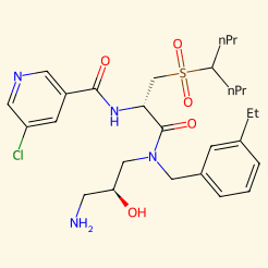 CCCC(CCC)S(=O)(=O)C[C@@H](NC(=O)c1cncc(Cl)c1)C(=O)N(Cc1cccc(CC)c1)C[C@@H](O)CN